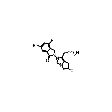 O=C(O)CC1=C2C[C@@H](F)CN2CN1N1Cc2c(F)cc(Br)cc2C1=O